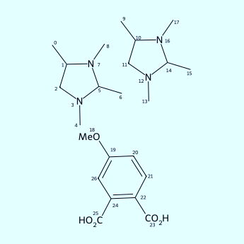 CC1CN(C)C(C)N1C.CC1CN(C)C(C)N1C.COc1ccc(C(=O)O)c(C(=O)O)c1